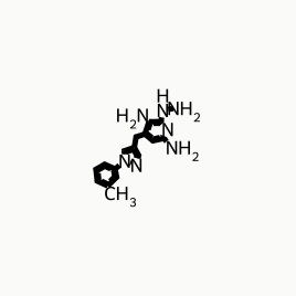 Cc1cccc(-n2cc(Cc3cc(N)nc(NN)c3N)cn2)c1